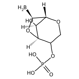 B[C@@H]1O[C@@H]2C(OP(=O)(O)O)CO[C@@H]1[C@@H]2O